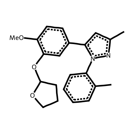 COc1ccc(-c2cc(C)nn2-c2ccccc2C)cc1OC1CCCO1